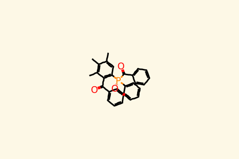 Cc1cc(P(=O)(C(=O)c2ccccc2)c2ccccc2)c(C(=O)c2ccccc2)c(C)c1C